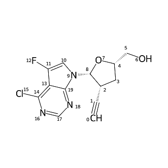 C#C[C@H]1C[C@@H](CO)O[C@H]1n1cc(F)c2c(Cl)ncnc21